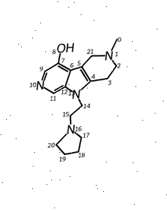 CN1CCc2c(c3c(O)cncc3n2CCN2CCCC2)C1